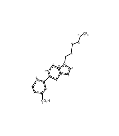 O=C(O)c1ccnc(-c2cc3ccn(CCCCCC(F)(F)F)c3cn2)c1